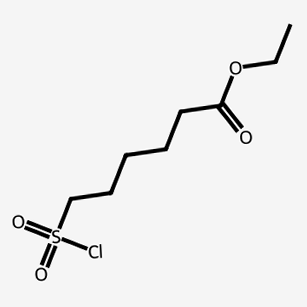 CCOC(=O)CCCCCS(=O)(=O)Cl